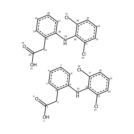 O=C(O)Cc1ccccc1Nc1c(Cl)cccc1Cl.O=C(O)Cc1ccccc1Nc1c(Cl)cccc1Cl